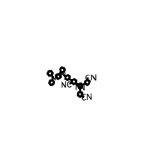 N#Cc1cccc(-c2cc(-c3ccc(-c4ccc(-n5c6ccccc6c6cc(N(c7ccccc7)c7ccccc7)ccc65)cc4)c(C#N)c3)nc(-c3cccc(C#N)c3)n2)c1